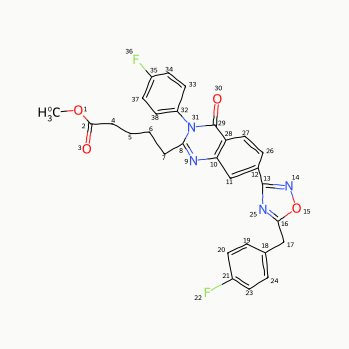 COC(=O)CCCCc1nc2cc(-c3noc(Cc4ccc(F)cc4)n3)ccc2c(=O)n1-c1ccc(F)cc1